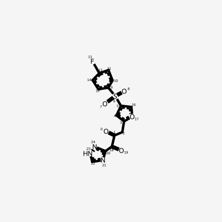 O=C(Cc1cc(S(=O)(=O)c2ccc(F)cc2)co1)C(=O)c1nc[nH]n1